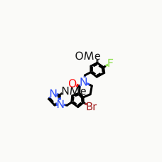 CNc1nccn1Cc1cc(Br)c2c(c1)C(=O)N(Cc1ccc(F)c(OC)c1)CC2